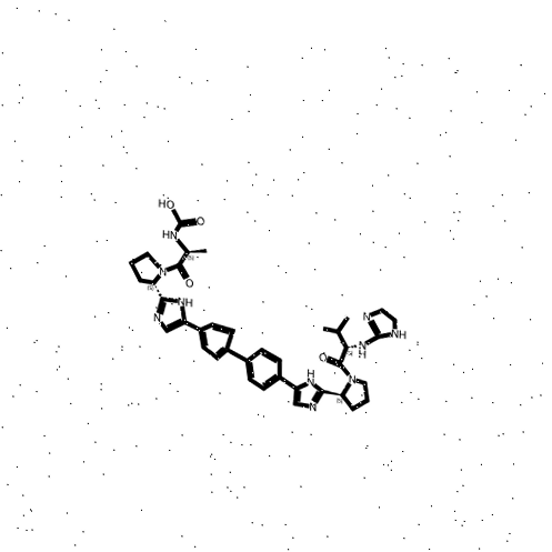 CC(C)[C@H](NC1=NCCN1)C(=O)N1CCC[C@H]1c1ncc(-c2ccc(-c3ccc(-c4cnc([C@@H]5CCCN5C(=O)[C@H](C)NC(=O)O)[nH]4)cc3)cc2)[nH]1